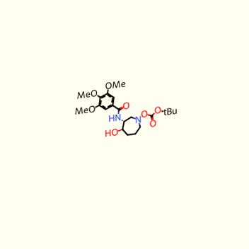 COc1cc(C(=O)N[C@@H]2CN(OC(=O)OC(C)(C)C)CCC[C@H]2O)cc(OC)c1OC